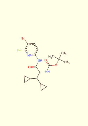 CC(C)(C)OC(=O)NC(C(=O)Nc1ccc(Br)c(F)n1)C(C1CC1)C1CC1